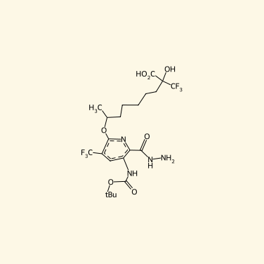 CC(CCCCCC(O)(C(=O)O)C(F)(F)F)Oc1nc(C(=O)NN)c(NC(=O)OC(C)(C)C)cc1C(F)(F)F